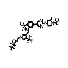 CC(=O)N1CCN(c2ncc(-c3ccc4c(=O)n(C)n(Cc5cn(CCO[Si](C)(C)C(C)(C)C)cc5C(F)(F)F)c4c3)cn2)CC1C